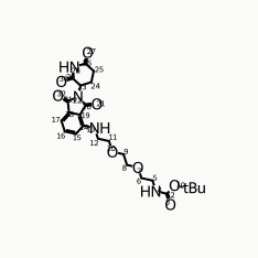 CC(C)(C)OC(=O)NCCOCCOCCNc1cccc2c1C(=O)N(C1CCC(=O)NC1=O)C2=O